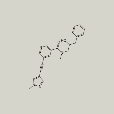 CN(CC(O)Cc1ccccc1)C(=O)c1cncc(C#Cc2cnn(C)c2)c1